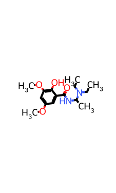 CCN(CC)C(C)NC(=O)c1cc(OC)cc(OC)c1O